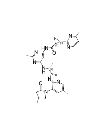 Cc1cc(N2CC(C)C(C)C2=O)c2nc([C@@H](C)Nc3cc(NC(=O)[C@H]4C[C@@H]4c4nccc(C)n4)nc(C)n3)cn2c1